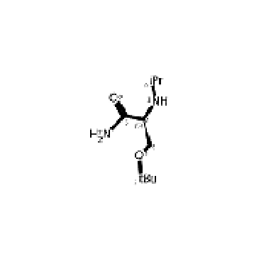 CC(C)N[C@@H](COC(C)(C)C)C(N)=O